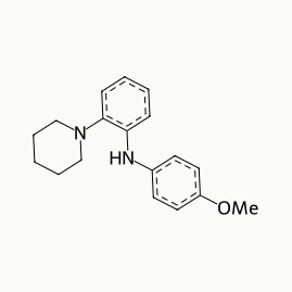 COc1ccc(Nc2ccccc2N2CCCCC2)cc1